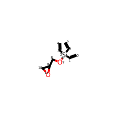 C=C[Si](C=C)(C=C)OCC1CO1